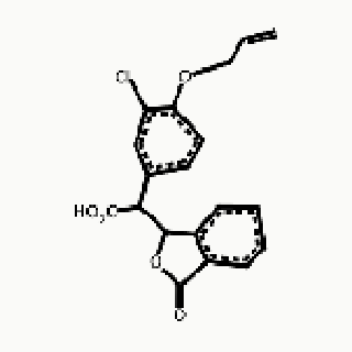 C=CCOc1ccc(C(C(=O)O)C2OC(=O)c3ccccc32)cc1Cl